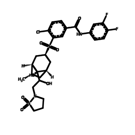 C[C@H]1C[C@@H]2C[C@H](S(=O)(=O)c3cc(C(=O)Nc4ccc(F)c(F)c4)ccc3Cl)C[C@H]1[C@@]2(O)C(O)CN1CCCS1(=O)=O